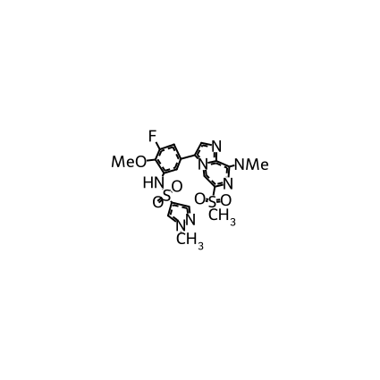 CNc1nc(S(C)(=O)=O)cn2c(-c3cc(F)c(OC)c(NS(=O)(=O)c4cnn(C)c4)c3)cnc12